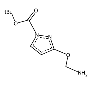 CC(C)(C)OC(=O)n1ccc(OCN)n1